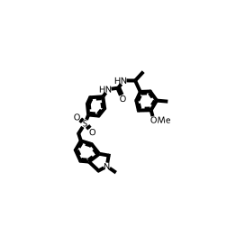 COc1ccc(C(C)NC(=O)Nc2ccc(S(=O)(=O)Cc3ccc4c(c3)CN(C)C4)cc2)cc1C